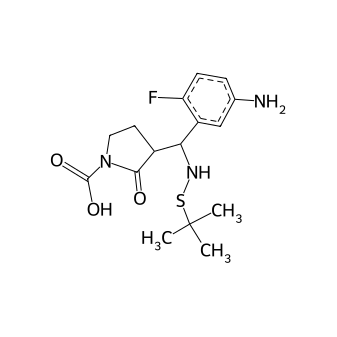 CC(C)(C)SNC(c1cc(N)ccc1F)C1CCN(C(=O)O)C1=O